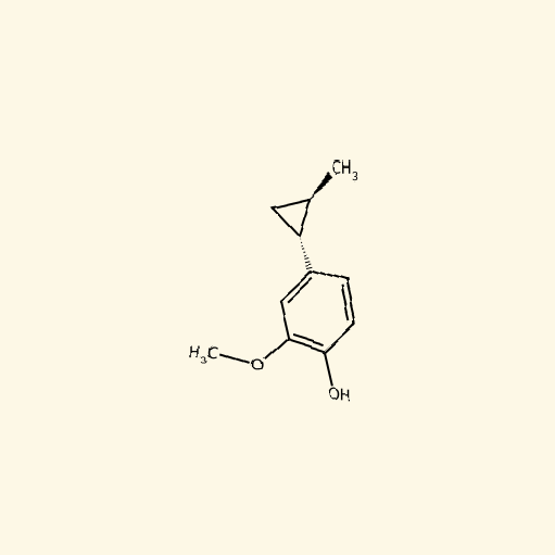 COc1cc([C@@H]2C[C@H]2C)ccc1O